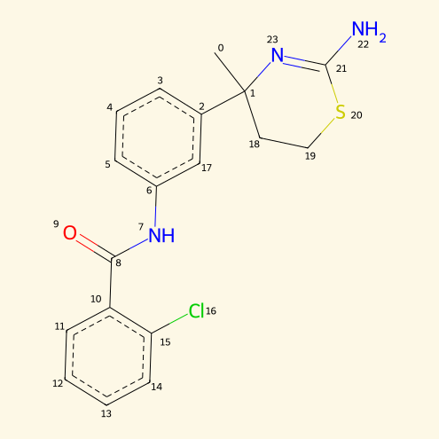 CC1(c2cccc(NC(=O)c3ccccc3Cl)c2)CCSC(N)=N1